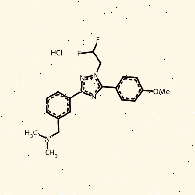 COc1ccc(-c2nc(-c3cccc(CN(C)C)c3)nn2CC(F)F)cc1.Cl